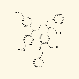 COc1ccc(C(CCN(Cc2ccccc2)[C@H](CO)c2ccc(OCc3ccccc3)c(CO)c2)c2ccc(OC)cc2)cc1